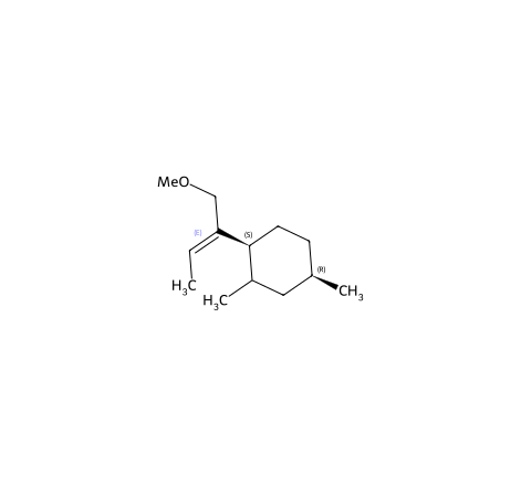 C/C=C(/COC)[C@H]1CC[C@@H](C)CC1C